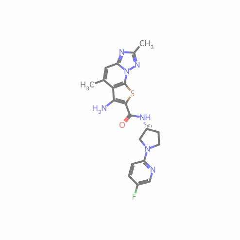 Cc1nc2cc(C)c3c(N)c(C(=O)N[C@@H]4CCN(c5ccc(F)cn5)C4)sc3n2n1